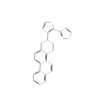 c1ccc2c(c1)ccc1c3c(ccc12)CC(c1ccoc1-c1cc[nH]n1)CC3